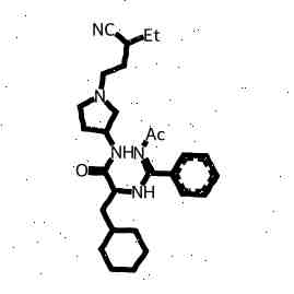 CCC(C#N)CCN1CCC(NC(=O)C(CC2CCCCC2)NC(=NC(C)=O)c2ccccc2)C1